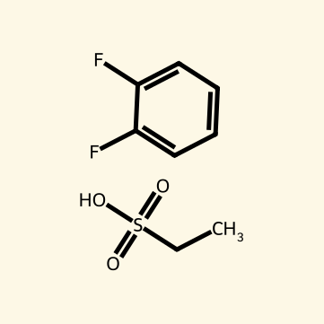 CCS(=O)(=O)O.Fc1ccccc1F